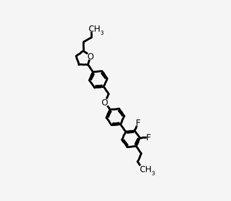 CCCc1ccc(-c2ccc(OCc3ccc(C4CCC(CCC)O4)cc3)cc2)c(F)c1F